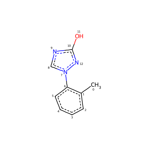 Cc1ccccc1-n1cnc(O)n1